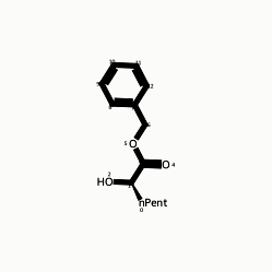 CCCCC[C@@H](O)C(=O)OCc1ccccc1